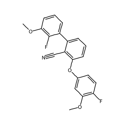 COc1cc(Oc2cccc(-c3cccc(OC)c3F)c2C#N)ccc1F